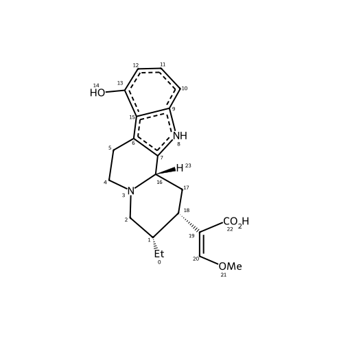 CC[C@@H]1CN2CCc3c([nH]c4cccc(O)c34)[C@@H]2C[C@@H]1C(=COC)C(=O)O